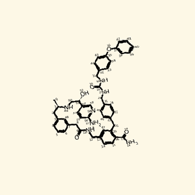 C[C@H](Cc1cccc(CC(=O)NCc2ccc(C(N)=O)c(Cc3ccc(CNC(=O)NCc4ccc(Oc5ccccc5)cc4)cc3)c2)c1)NC[C@H](O)c1ccc(N)nc1